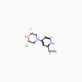 CC(=O)Nc1cc(N2C[C@@H](C)O[C@@H](C)C2)ccn1